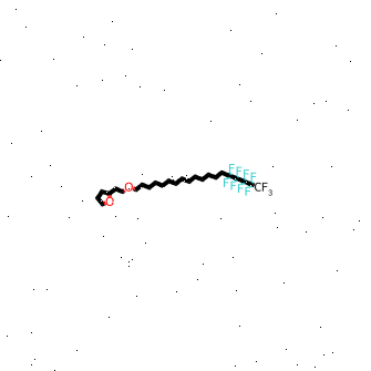 FC(F)(F)C(F)(F)C(F)(F)C(F)(F)C(F)(F)CCCCCCCCCCCCCCOCCC1CCCO1